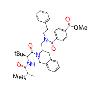 CN[C@@H](C)C(=O)N[C@H](C(=O)N1Cc2ccccc2C[C@H]1CN(CCc1ccccc1)C(=O)c1ccc(C(=O)OC)cc1)C(C)(C)C